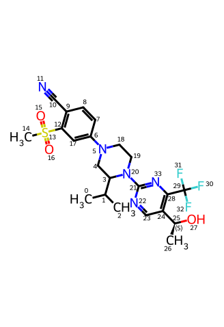 CC(C)C1CN(c2ccc(C#N)c(S(C)(=O)=O)c2)CCN1c1ncc([C@H](C)O)c(C(F)(F)F)n1